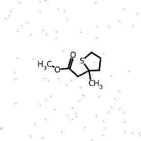 COC(=O)CC1(C)CCCS1